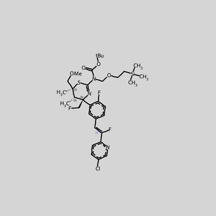 COC[C@@]1(C)SC(N(COCC[Si](C)(C)C)C(=O)OC(C)(C)C)=N[C@](CF)(c2cc(/C=C(\F)c3ccc(Cl)cn3)ccc2F)[C@@H]1C